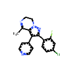 CC1=NCCn2nc(-c3ccc(Cl)cc3F)c(-c3ccncc3)c21